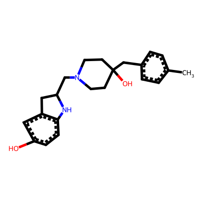 Cc1ccc(CC2(O)CCN(CC3Cc4cc(O)ccc4N3)CC2)cc1